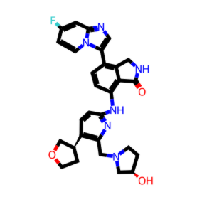 O=C1NCc2c(-c3cnc4cc(F)ccn34)ccc(Nc3ccc([C@H]4CCOC4)c(CN4CC[C@@H](O)C4)n3)c21